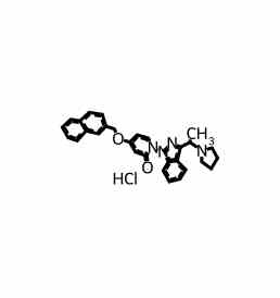 CC(c1nn(-n2ccc(OCc3ccc4ccccc4c3)cc2=O)c2ccccc12)N1CCCC1.Cl